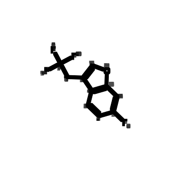 Fc1ccc2c([CH]C(F)(F)F)coc2c1